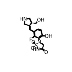 O=C1CN(c2c(O)ccc(/C=C3/CNC[C@H]3CO)c2F)S(=O)(=O)N1